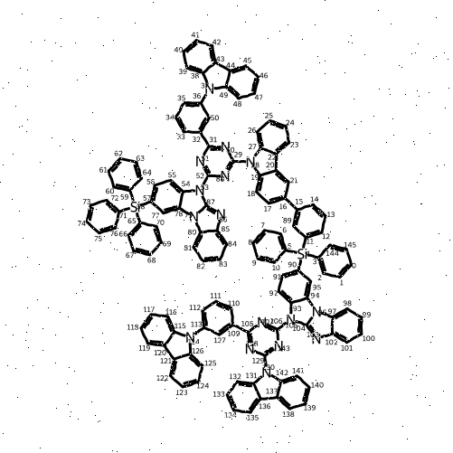 c1ccc([Si](c2ccccc2)(c2cccc(-c3ccc4c(c3)c3ccccc3n4-c3nc(-c4cccc(-n5c6ccccc6c6ccccc65)c4)nc(-n4c5ccc([Si](c6ccccc6)(c6ccccc6)c6ccccc6)cc5n5c6ccccc6nc45)n3)c2)c2ccc3c(c2)n2c4ccccc4nc2n3-c2nc(-c3cccc(-n4c5ccccc5c5ccccc54)c3)nc(-n3c4ccccc4c4ccccc43)n2)cc1